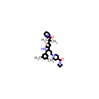 Cc1cc(C)cc(-c2[nH]c3sc(C(C)(C)C(=O)N4C5CCC4CC5)cc3c2CCN2CCC(C(=O)N3CCC3)CC2)c1